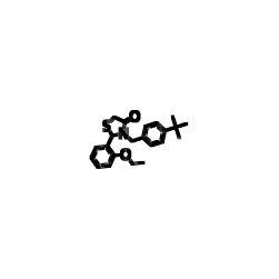 CCOc1ccccc1C1SCC(=O)N1Cc1ccc(C(C)(C)C)cc1